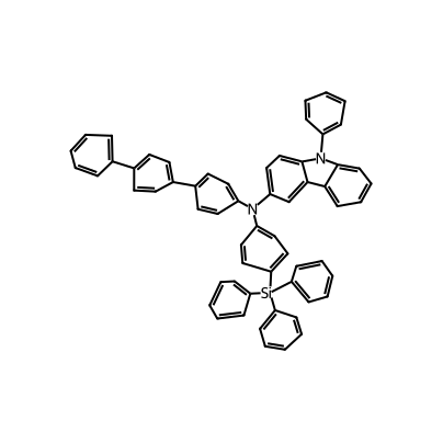 c1ccc(-c2ccc(-c3ccc(N(c4ccc([Si](c5ccccc5)(c5ccccc5)c5ccccc5)cc4)c4ccc5c(c4)c4ccccc4n5-c4ccccc4)cc3)cc2)cc1